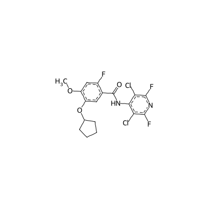 COc1cc(F)c(C(=O)Nc2c(Cl)c(F)nc(F)c2Cl)cc1OC1CCCC1